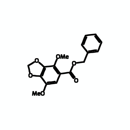 COc1cc(C(=O)OCc2ccccc2)c(OC)c2c1OCO2